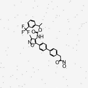 Cc1noc(-c2ccc(-c3ccc(CC(=O)N=O)cc3)cc2)c1NC(=O)OC(C)c1cccc(C(F)(F)F)c1